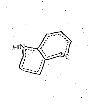 c1c[13cH]c2cc[nH]c2c1